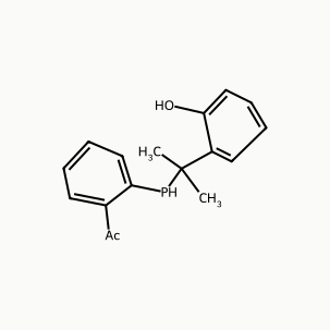 CC(=O)c1ccccc1PC(C)(C)c1ccccc1O